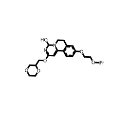 CC(C)OCCOc1ccc2c(c1)CCN1C2=CC(OCC2COCCO2)=NC1O